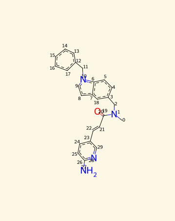 CN(Cc1ccc2c(ccn2Cc2ccccc2)c1)C(=O)C=Cc1ccc(N)nc1